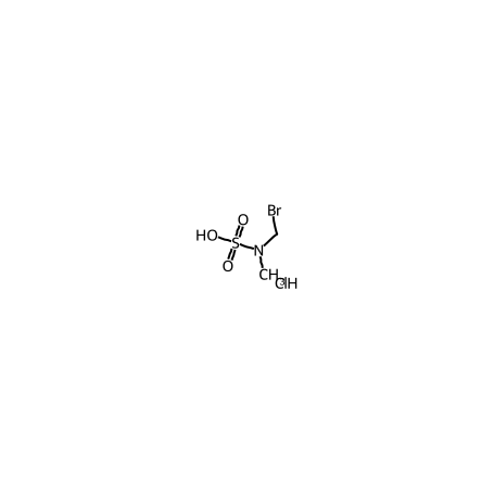 CN(CBr)S(=O)(=O)O.Cl